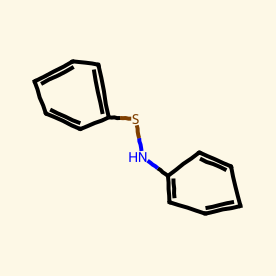 c1ccc(NSc2ccccc2)cc1